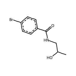 CC(O)CNC(=O)c1ccc(Br)cc1